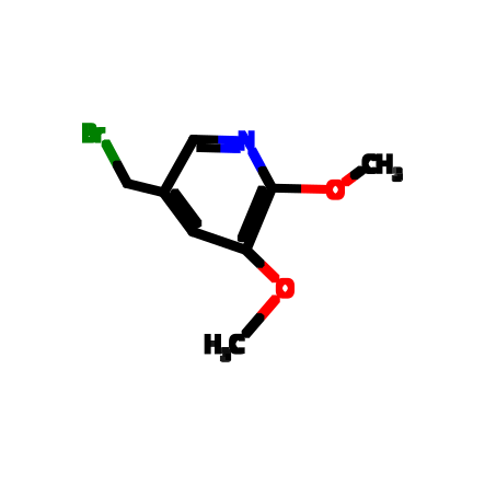 COc1cc(CBr)cnc1OC